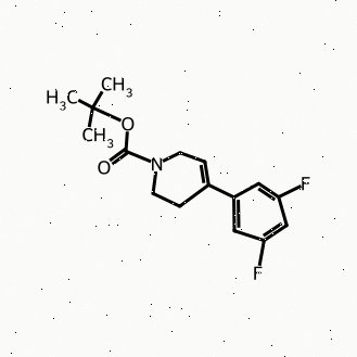 CC(C)(C)OC(=O)N1CC=C(c2cc(F)cc(F)c2)CC1